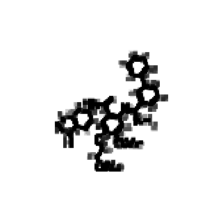 C=C(Nc1ccc2[nH]ncc2c1)c1cc(OCCOC)c(OC)cc1/N=C(\N)c1cccc(-c2ccccc2)c1